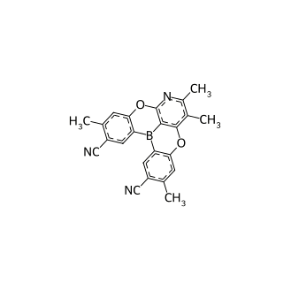 Cc1cc2c(cc1C#N)B1c3cc(C#N)c(C)cc3Oc3c(C)c(C)nc(c31)O2